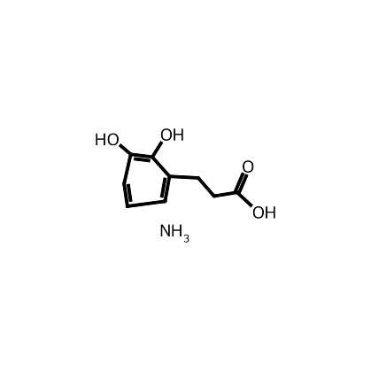 N.O=C(O)CCc1cccc(O)c1O